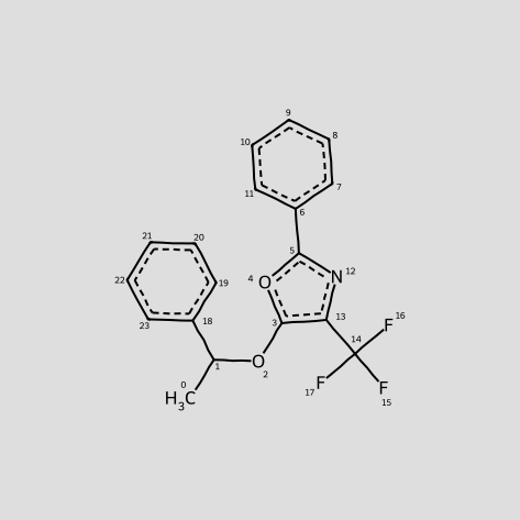 CC(Oc1oc(-c2ccccc2)nc1C(F)(F)F)c1ccccc1